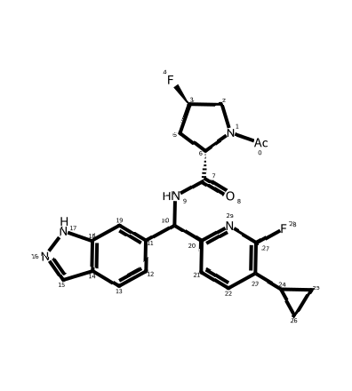 CC(=O)N1C[C@H](F)C[C@H]1C(=O)NC(c1ccc2cn[nH]c2c1)c1ccc(C2CC2)c(F)n1